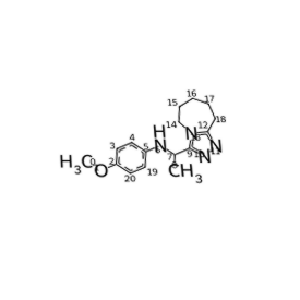 COc1ccc(NC(C)c2nnc3n2CCCCC3)cc1